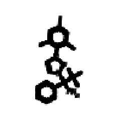 Cc1cc(C)c(N2[C]N(C(P)(c3ccccc3)C(C)(C)C)C=C2)c(C)c1